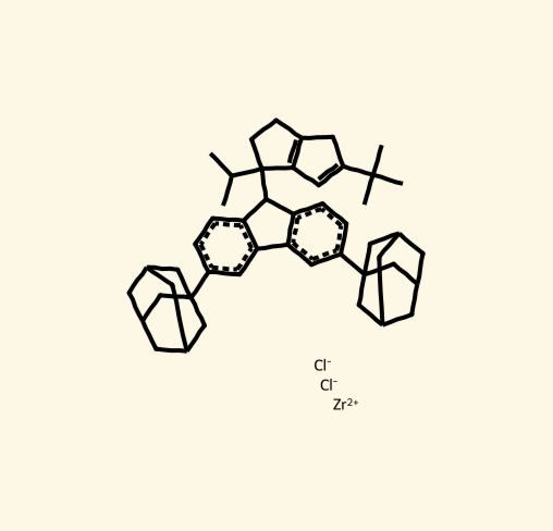 CC(C)C1(C2c3ccc(C45CC6CC(CC(C6)C4)C5)cc3-c3cc(C45CC6CC(CC(C6)C4)C5)ccc32)CCC2=C1C=C(C(C)(C)C)C2.[Cl-].[Cl-].[Zr+2]